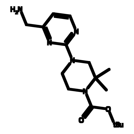 CC(C)(C)OC(=O)N1CCN(c2nccc(CN)n2)CC1(C)C